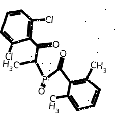 Cc1cccc(C)c1C(=O)[P](=O)C(C)C(=O)c1c(Cl)cccc1Cl